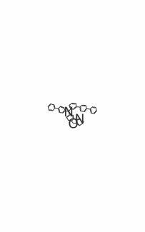 c1ccc(-c2ccc(-c3cccc(N(c4ccc(-c5ccccc5)cc4)c4ccc5oc6cccnc6c5c4)c3)cc2)cc1